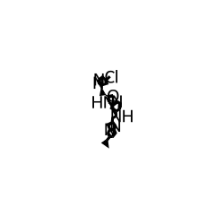 O=C(Nc1cc(NCc2cn3cc(C4CC4)ccc3n2)ccn1)[C@H]1C[C@@H]1c1cc(Cl)cnn1